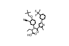 CCC(C(=O)O)N(C(=O)c1cn(-c2cccc(C(F)(F)F)c2)nc1C)c1ccc(OCC(C)(C)C)c(C#N)c1